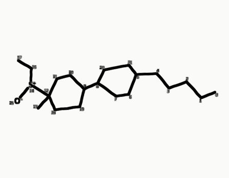 CCCCCC1CCC(C2CCC(C)([S+]([O-])CC)CC2)CC1